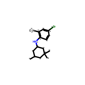 CC1CC(Nc2ccc(Br)cc2[N+](=O)[O-])CC(C)(C)C1